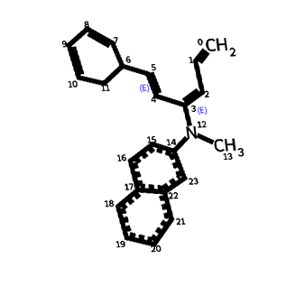 C=C/C=C(\C=C\C1C=CC=CC1)N(C)c1ccc2ccccc2c1